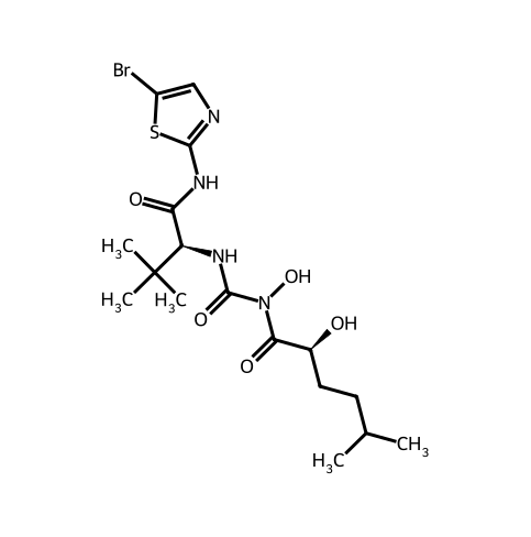 CC(C)CC[C@H](O)C(=O)N(O)C(=O)N[C@H](C(=O)Nc1ncc(Br)s1)C(C)(C)C